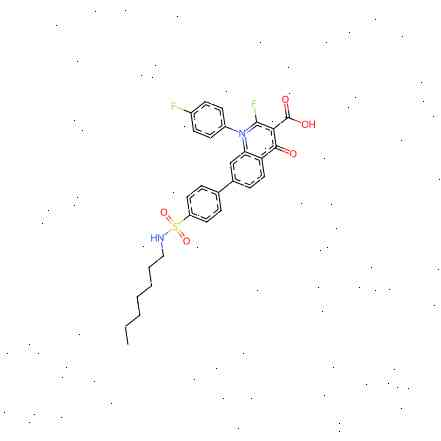 CCCCCCCNS(=O)(=O)c1ccc(-c2ccc3c(=O)c(C(=O)O)c(F)n(-c4ccc(F)cc4)c3c2)cc1